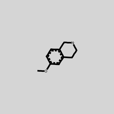 COc1ccc2c(c1)CC[N]C2